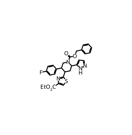 CCOC(=O)c1csc(C2CC(c3ccn[nH]3)N(C(=O)OCc3ccccc3)CC2c2ccc(F)cc2)n1